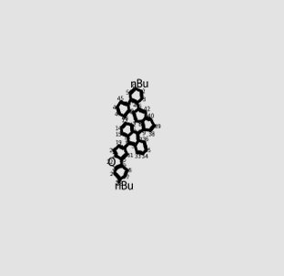 CCCCc1ccc(-c2ccc3c(-c4c5ccccc5c(-c5ccc6oc7cc(CCCC)ccc7c6c5)c5ccccc45)cccc3c2)c(-c2ccccc2)c1